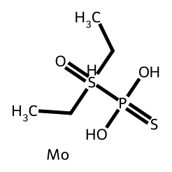 CC[SH](=O)(CC)P(O)(O)=S.[Mo]